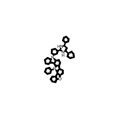 C1=C(c2ccccc2)NC(c2cccc(-n3c4ccccc4c4c3ccc3c5ccc6oc7ccccc7c6c5n(-c5ccccc5)c34)c2)NC1c1ccccc1